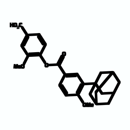 COc1cc(C(=O)O)ccc1OC(=O)c1ccc(OC)c(C23CC4CC(CC(C4)C2)C3)c1